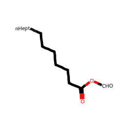 CCCCCCCCCCCCCC(=O)OC=O